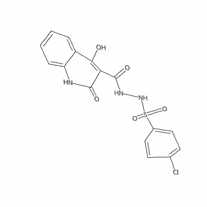 O=C(NNS(=O)(=O)c1ccc(Cl)cc1)c1c(O)c2ccccc2[nH]c1=O